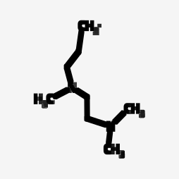 [CH2]CCN(C)CCN(C)C